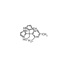 Cc1cc(C)c(C(CO)(c2ncc[nH]2)c2ncc[nH]2)c(C)c1